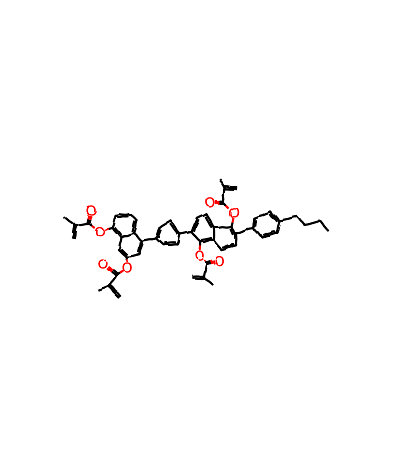 C=C(C)C(=O)Oc1cc(-c2ccc(-c3ccc4c(OC(=O)C(=C)C)c(-c5ccc(CCCC)cc5)ccc4c3OC(=O)C(=C)C)cc2)c2cccc(OC(=O)C(=C)C)c2c1